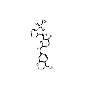 CN1CCOc2cc(Nc3ncc(Br)c(Nc4ccccc4S(=O)(=O)C4CC4)n3)ccc21